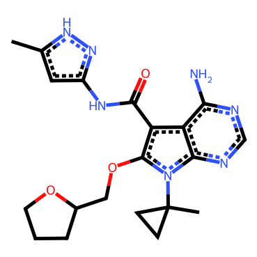 Cc1cc(NC(=O)c2c(OCC3CCCO3)n(C3(C)CC3)c3ncnc(N)c23)n[nH]1